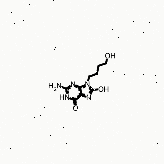 Nc1nc2c(nc(O)n2CCCCO)c(=O)[nH]1